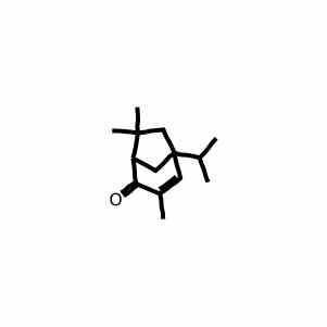 CC1=CC2(C(C)C)CC(C1=O)C(C)(C)C2